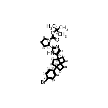 CC(C)(C)OC(=O)N1CCC[C@H]1c1ncc(C23CCC4(c5ccc(Br)cc5)CCC42CC3)[nH]1